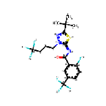 CC(C)(C)c1nn(CCCC(F)(F)F)c(=NC(=O)c2cc(C(F)(F)F)ccc2F)s1